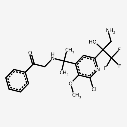 COc1c(C(C)(C)NCC(=O)c2ccccc2)cc(C(O)(CN)C(F)(F)F)nc1Cl